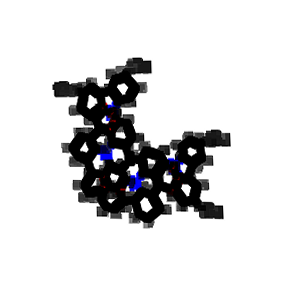 CC(C)(C)c1cc2c3c(c1)N(C1C(C4=CCCCC4)=CCCC1C1=CCCCC1)c1cc(-n4c5ccc(C(C)(C)C)cc5c5cc(C(C)(C)C)ccc54)ccc1B3c1ccc(-n3c4ccc(C(C)(C)C)cc4c4cc(C(C)(C)C)ccc43)cc1N2c1c(C2=CCCC=C2)cccc1-c1ccccc1